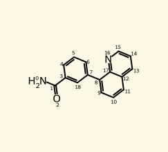 NC(=O)c1cccc(-c2cccc3cccnc23)c1